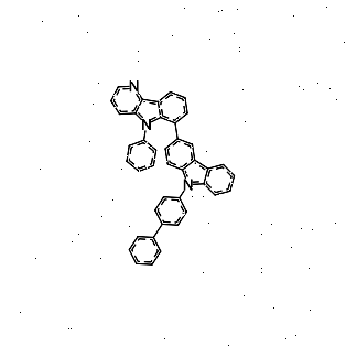 c1ccc(-c2ccc(-n3c4ccccc4c4cc(-c5cccc6c7ncccc7n(-c7ccccc7)c56)ccc43)cc2)cc1